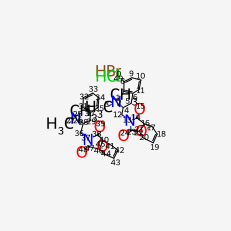 Br.CN(C)C(Cc1ccccc1)CN1C(=O)C2C3C=CC(O3)C2C1=O.CN(C)C(Cc1ccccc1)CN1C(=O)C2C3C=CC(O3)C2C1=O.Cl